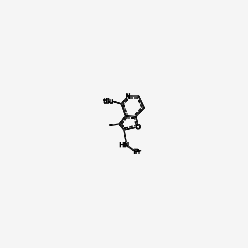 Cc1c(NC(C)C)oc2ccnc(C(C)(C)C)c12